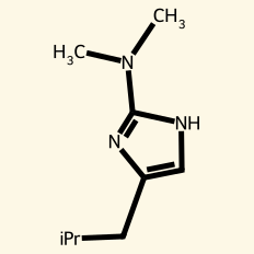 CC(C)Cc1c[nH]c(N(C)C)n1